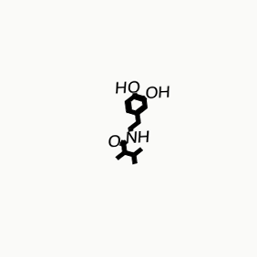 CC(C)C(C)C(=O)NCCc1ccc(O)c(O)c1